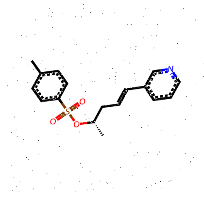 Cc1ccc(S(=O)(=O)O[C@@H](C)C/C=C/c2cccnc2)cc1